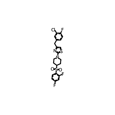 O=S(=O)(c1ccc(F)cc1F)C1CCN(c2nc(Cc3ccc(F)c(Cl)c3)cs2)CC1